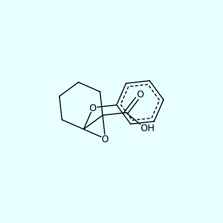 O=C(O)C12CCCCC1(Oc1ccccc1)O2